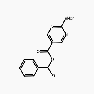 CCCCCCCCCc1ncc(C(=O)OC(CC)c2ccccc2)cn1